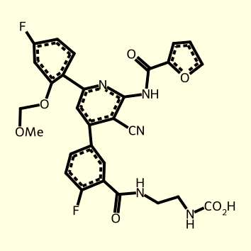 COCOc1cc(F)ccc1-c1cc(-c2ccc(F)c(C(=O)NCCNC(=O)O)c2)c(C#N)c(NC(=O)c2ccco2)n1